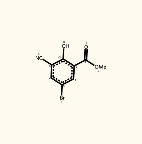 COC(=O)c1cc(Br)cc(C#N)c1O